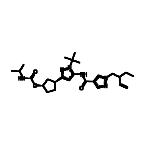 C=CC(CC)Cn1cc(C(=O)Nc2cc([C@H]3CC[C@@H](OC(=O)NC(C)C)C3)nn2C(C)(C)C)cn1